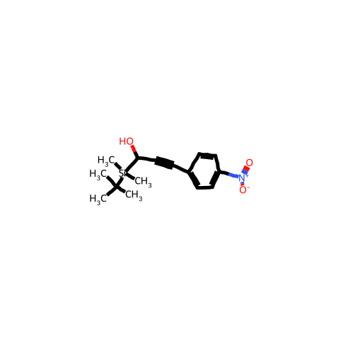 CC(C)(C)[Si](C)(C)C(O)C#Cc1ccc([N+](=O)[O-])cc1